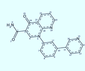 NC(=O)c1cn(-c2cccc(-c3cccnc3)c2)c2ncccc2c1=O